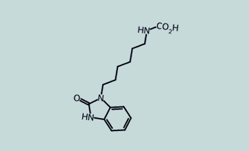 O=C(O)NCCCCCCn1c(=O)[nH]c2ccccc21